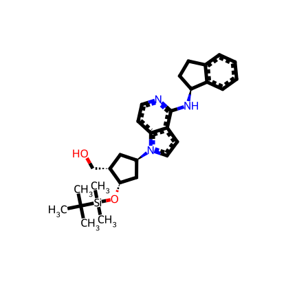 CC(C)(C)[Si](C)(C)O[C@H]1C[C@H](n2ccc3c(N[C@H]4CCc5ccccc54)nccc32)C[C@H]1CO